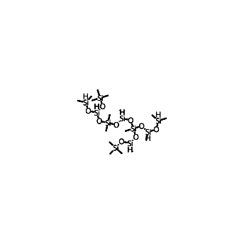 C[SiH](C)O[SiH](C)O[Si](C)(O[SiH](C)O[Si](C)(C)C)O[SiH](C)O[Si](C)(C)O[SiH](O[SiH](C)C)O[Si](C)(C)C